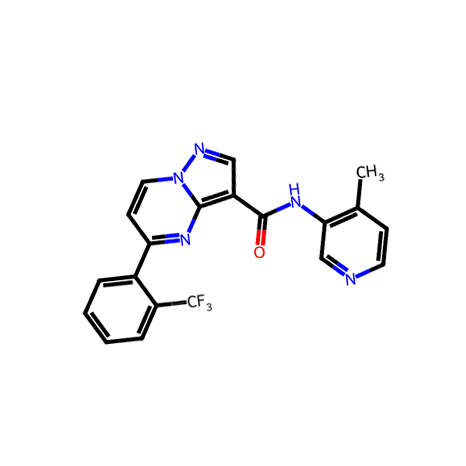 Cc1ccncc1NC(=O)c1cnn2ccc(-c3ccccc3C(F)(F)F)nc12